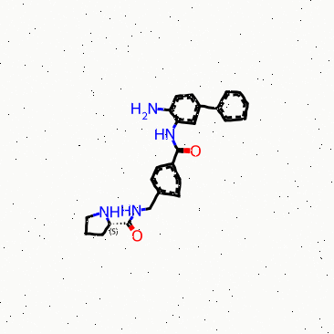 Nc1ccc(-c2ccccc2)cc1NC(=O)c1ccc(CNC(=O)[C@@H]2CCCN2)cc1